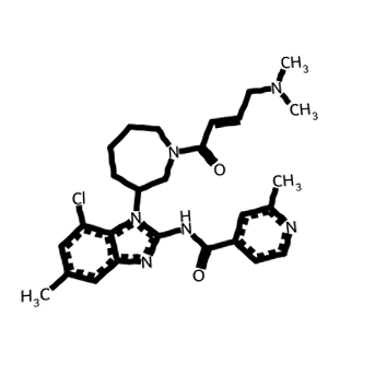 Cc1cc(Cl)c2c(c1)nc(NC(=O)c1ccnc(C)c1)n2C1CCCCN(C(=O)/C=C/CN(C)C)C1